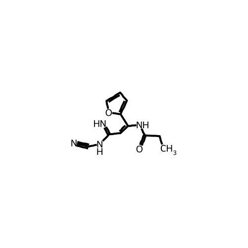 CCC(=O)NC(=CC(=N)NC#N)c1ccco1